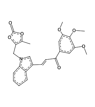 COc1cc(C(=O)/C=C/c2cn(Cc3oc(=O)oc3C)c3ccccc23)cc(OC)c1OC